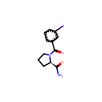 NC(=O)[C@H]1CCCN1C(=O)c1cccc(I)c1